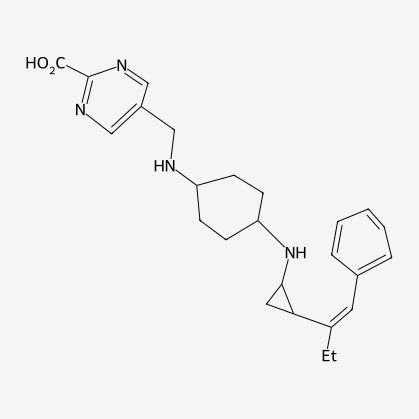 CCC(=Cc1ccccc1)C1CC1NC1CCC(NCc2cnc(C(=O)O)nc2)CC1